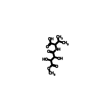 COC(=O)C(O)C(O)C(=O)NC(C(=O)O)C(C)C